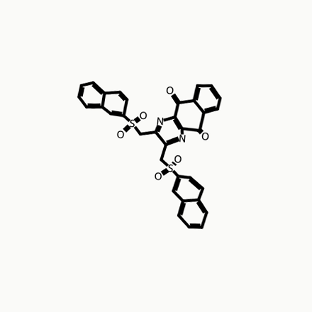 O=C1c2ccccc2C(=O)c2nc(CS(=O)(=O)c3ccc4ccccc4c3)c(CS(=O)(=O)c3ccc4ccccc4c3)nc21